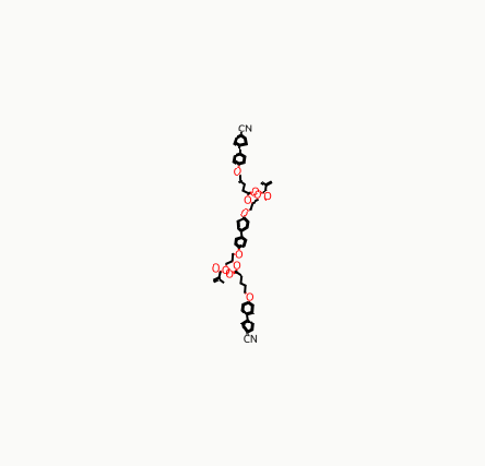 C=C(C)C(=O)OCC(COc1ccc(-c2ccc(OCC(COC(=O)C(=C)C)OC(=O)CCCCOc3ccc(-c4ccc(C#N)cc4)cc3)cc2)cc1)OC(=O)CCCCOc1ccc(-c2ccc(C#N)cc2)cc1